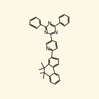 CC1(C)c2ccccc2-c2ccc(-c3ccc(-c4nc(-c5ccccc5)nc(-c5ccccc5)n4)cn3)cc2C1(C)C